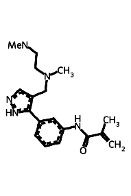 C=C(C)C(=O)Nc1cccc(-c2[nH]ncc2CN(C)CCNC)c1